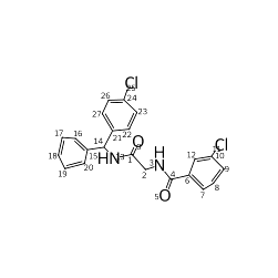 O=C(CNC(=O)c1cccc(Cl)c1)NC(c1ccccc1)c1ccc(Cl)cc1